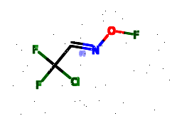 FO/N=C/C(F)(F)Cl